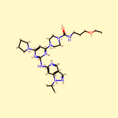 CCOCCCNC(=O)N1CCN(c2cc(N3CCCC3)nc(Nc3cc4c(cn3)cnn4C(C)C)n2)CC1